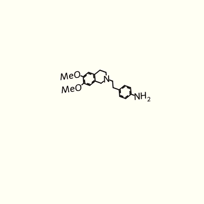 COc1cc2c(cc1OC)CN(CCc1ccc(N)cc1)CC2